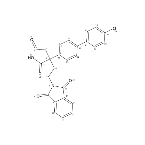 O=CCC(CCN1C(=O)c2ccccc2C1=O)(C(=O)O)c1ccc(-c2ccc(Cl)cc2)cc1